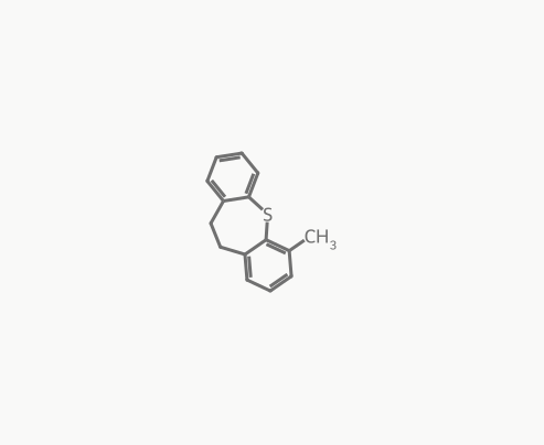 Cc1cccc2c1Sc1ccccc1CC2